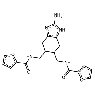 Nc1nc2c([nH]1)CC(CNC(=O)c1ccco1)C(CNC(=O)c1ccco1)C2